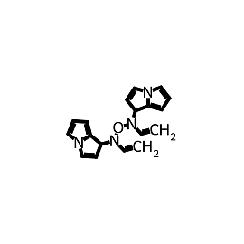 C=CN(ON(C=C)C1C=Cn2cccc21)C1C=Cn2cccc21